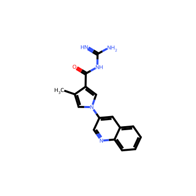 Cc1cn(-c2cnc3ccccc3c2)cc1C(=O)NC(=N)N